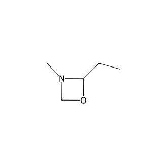 CCC1OCN1C